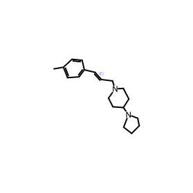 Cc1ccc(/C=C/CN2CCC(N3CCCC3)CC2)cc1